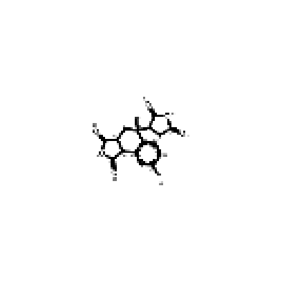 CC1(C2CC(=O)OC2=O)CC2C(=O)OC(=O)C2c2cc(F)ccc21